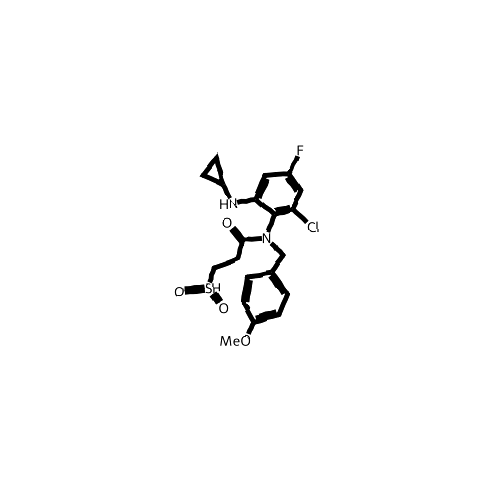 COc1ccc(CN(C(=O)CC[SH](=O)=O)c2c(Cl)cc(F)cc2NC2CC2)cc1